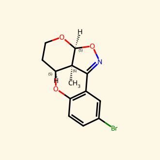 C[C@@]12C3=NO[C@@H]1OCC[C@@H]2Oc1ccc(Br)cc13